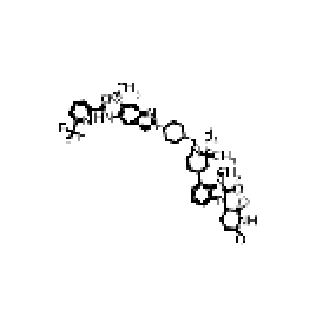 COc1cc2nn([C@H]3CC[C@H](CN4CCC(c5cccc6c5n(C)c(=O)n6C5CCC(=O)NC5=O)CC4(C)C)CC3)cc2cc1NC(=O)c1cccc(C(F)(F)F)n1